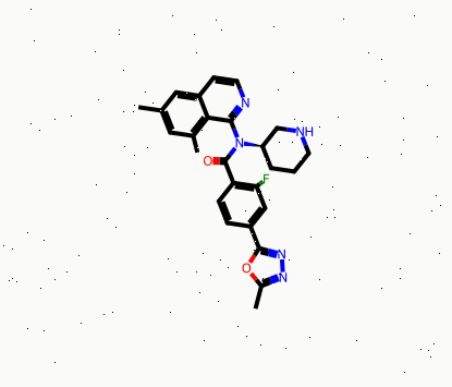 Cc1cc(C)c2c(N(C(=O)c3ccc(-c4nnc(C)o4)cc3F)[C@@H]3CCCNC3)nccc2c1